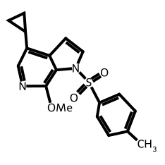 COc1ncc(C2CC2)c2ccn(S(=O)(=O)c3ccc(C)cc3)c12